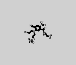 CN(C)CCNC(=O)c1cc(N(CCBr)CCOS(C)(=O)=O)c(C#N)cc1[N+](=O)[O-]